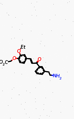 CCOc1cc(C=CC(=O)c2cccc(CCN)c2)ccc1OCC(=O)O